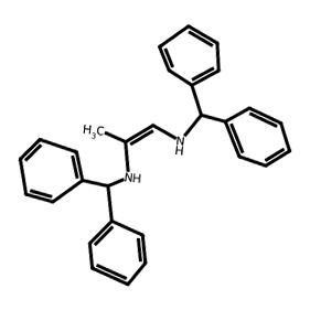 CC(=CNC(c1ccccc1)c1ccccc1)NC(c1ccccc1)c1ccccc1